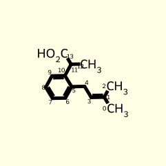 CC(C)=CCc1ccccc1C(C)C(=O)O